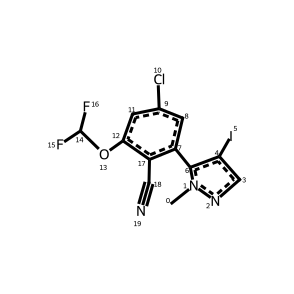 Cn1ncc(I)c1-c1cc(Cl)cc(OC(F)F)c1C#N